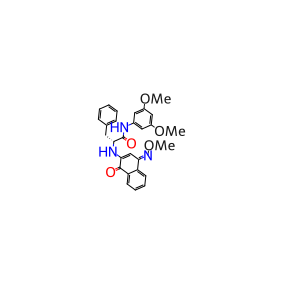 CON=C1C=C(N[C@H](Cc2ccccc2)C(=O)Nc2cc(OC)cc(OC)c2)C(=O)c2ccccc21